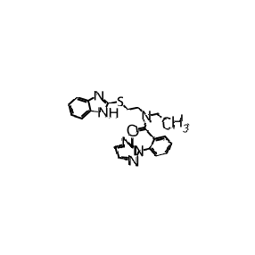 CCN(CCSc1nc2ccccc2[nH]1)C(=O)c1ccccc1-n1nccn1